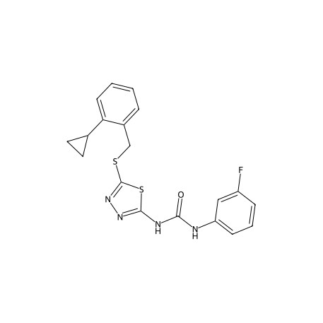 O=C(Nc1cccc(F)c1)Nc1nnc(SCc2ccccc2C2CC2)s1